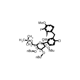 CCCCO[C@H]1[C@H](OCCCC)[C@@H](CO[Si](C)(C)C)O[C@@](OC)(c2ccc(Cl)c(Cc3ccc(OC)c(F)c3F)c2)[C@@H]1OCCCC